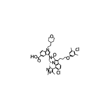 Cc1cc(OCCCc2c3n(c4c(-c5c(C)nn(C)c5C)c(Cl)ccc24)[C@H](C)CN(c2cn(CCC4CCOCC4)c4ccc(C(=O)O)cc24)C3=O)cc(C)c1Cl